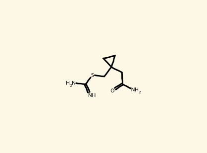 N=C(N)SCC1(CC(N)=O)CC1